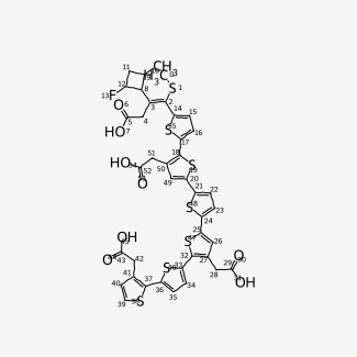 CS/C(=C(/CC(=O)O)C1C(C)CC1F)c1ccc(-c2sc(-c3ccc(-c4cc(CC(=O)O)c(-c5ccc(-c6sccc6CC(=O)O)s5)s4)s3)cc2CC(=O)O)s1